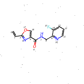 C=Cc1nc(C(=O)NCc2ncccc2F)co1